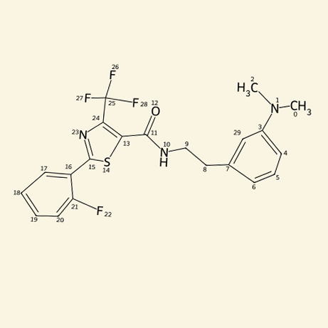 CN(C)c1cccc(CCNC(=O)c2sc(-c3ccccc3F)nc2C(F)(F)F)c1